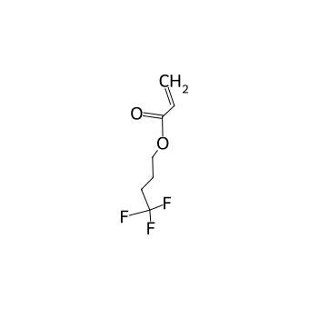 C=CC(=O)OCCCC(F)(F)F